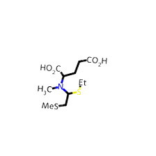 CCSC(CSC)N(C)C(CCC(=O)O)C(=O)O